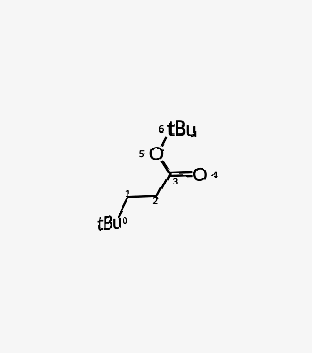 CC(C)(C)CCC(=O)OC(C)(C)C